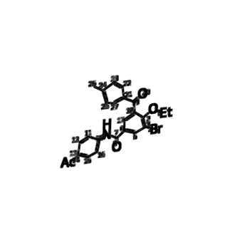 CCOc1c(Br)cc(C(=O)Nc2ccc(C(C)=O)cc2)cc1C(=O)c1ccc(C)cc1